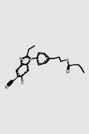 CCC(=O)OCCc1ccc(-n2c(CC)nc3cc(C#N)c(Cl)cc32)cc1